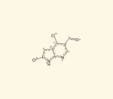 O=Cc1cnc2[nH]c(Cl)cc2c1Cl